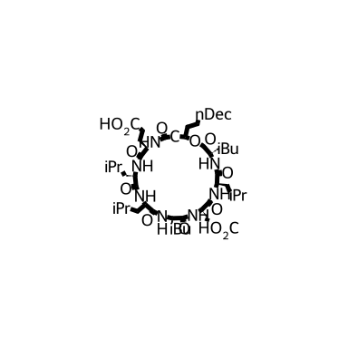 CCCCCCCCCCCCC1CC(=O)N[C@H](CCC(=O)O)C(=O)N[C@@H](CC(C)C)C(=O)NC(CC(C)C)C(=O)N[C@@H](C(C)CC)C(=O)N[C@@H](CC(=O)O)C(=O)N[C@H](CC(C)C)C(=O)N[C@@H](C(C)CC)C(=O)O1